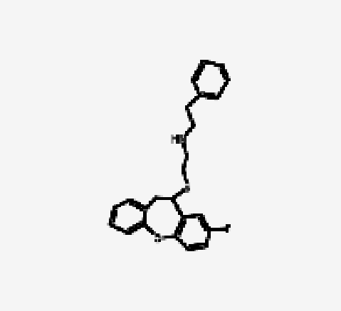 Fc1ccc2c(c1)C(SCCNCCc1ccccc1)Cc1ccccc1O2